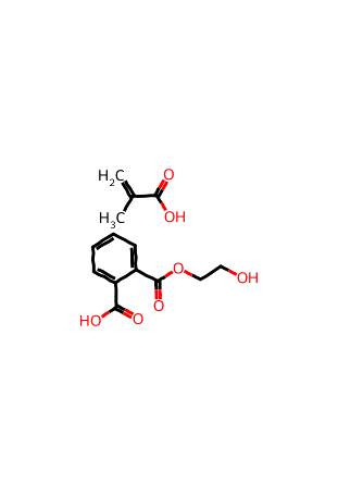 C=C(C)C(=O)O.O=C(O)c1ccccc1C(=O)OCCO